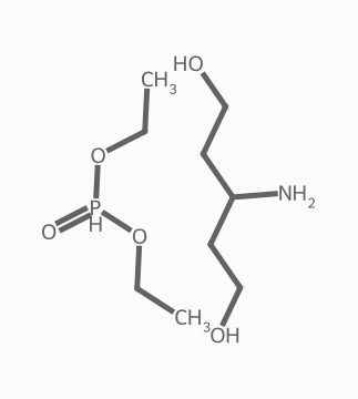 CCO[PH](=O)OCC.NC(CCO)CCO